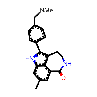 CNCc1ccc(-c2[nH]c3cc(C)cc4c3c2CCNC4=O)cc1